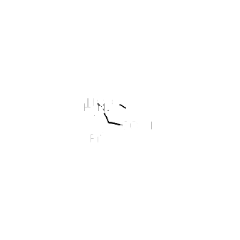 CC(=O)O.CC(C)[C@H](N)C(=O)O